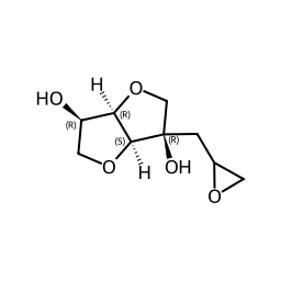 O[C@@H]1CO[C@H]2[C@@H]1OC[C@]2(O)CC1CO1